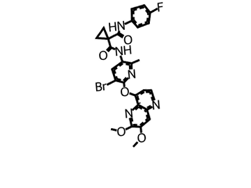 COc1cc2nccc(Oc3nc(C)c(NC(=O)C4(C(=O)Nc5ccc(F)cc5)CC4)cc3Br)c2nc1OC